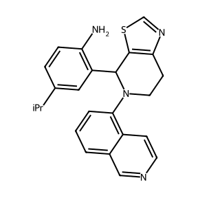 CC(C)c1ccc(N)c(C2c3scnc3CCN2c2cccc3cnccc23)c1